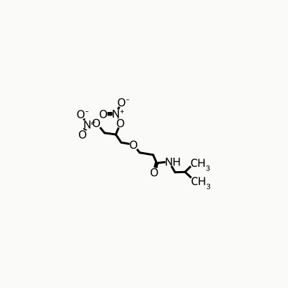 CC(C)CNC(=O)CCOCC(CO[N+](=O)[O-])O[N+](=O)[O-]